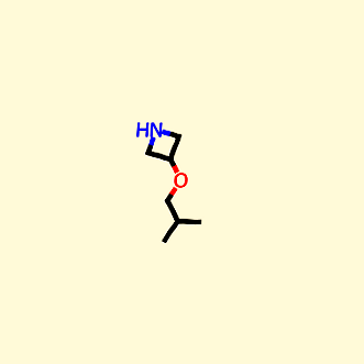 CC(C)COC1CNC1